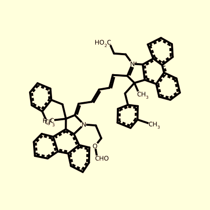 Cc1cccc(CC2(C)C(/C=C/C=C/C=C3\N(CCOC=O)c4c(c5ccccc5c5ccccc45)C3(C)Cc3ccccc3C(F)(F)F)=[N+](CCC(=O)O)c3c2c2ccccc2c2ccccc32)c1